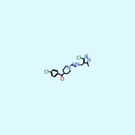 Cc1nn(C)c(Cl)c1CNCCN1CCC(C(=O)c2ccc(Cl)cc2)CC1